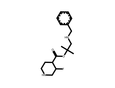 CC(C)(CNCc1ccccc1)OC(=O)C1CCNCC1F